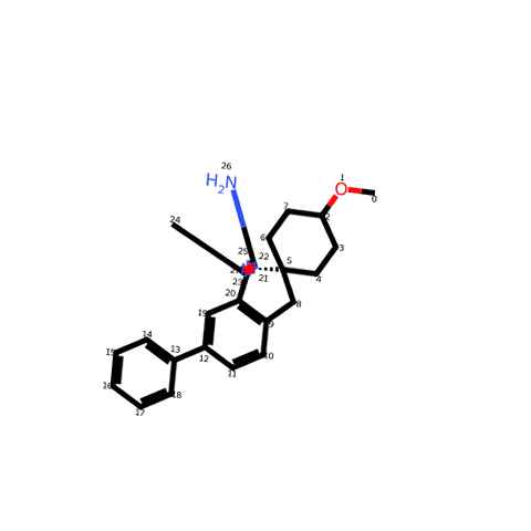 COC1CCC2(CC1)Cc1ccc(-c3ccccc3)cc1[C@@]21N=C(C)C(N)=N1